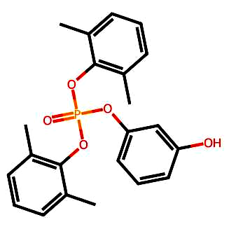 Cc1cccc(C)c1OP(=O)(Oc1cccc(O)c1)Oc1c(C)cccc1C